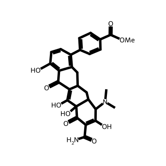 COC(=O)c1ccc(-c2ccc(O)c3c2CC2CC4C(N(C)C)C(O)=C(C(N)=O)C(=O)C4(O)C(O)=C2C3=O)cc1